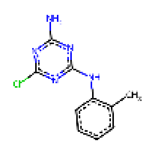 Cc1ccccc1Nc1nc(N)nc(Cl)n1